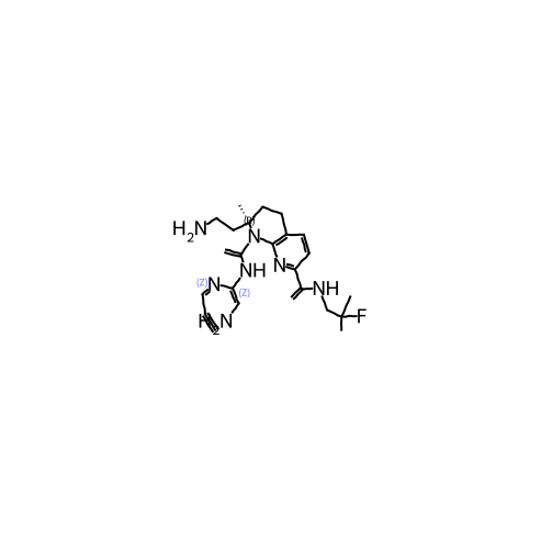 C#C/C=N\C(=C/N)NC(=C)N1c2nc(C(=C)NCC(C)(C)F)ccc2CC[C@]1(C)CCN